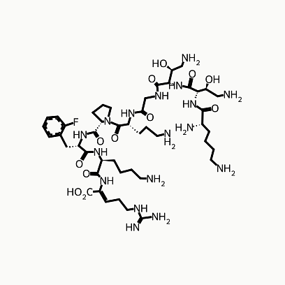 N=C(N)NCC/C=C(\NC(=O)[C@H](CCCCN)NC(=O)[C@H](Cc1ccccc1F)NC(=O)[C@@H]1CCCN1C(=O)[C@@H](CCCN)NC(=O)CNC(=O)[C@@H](NC(=O)[C@@H](NC(=O)[C@@H](N)CCCCN)[C@@H](O)CN)[C@@H](O)CN)C(=O)O